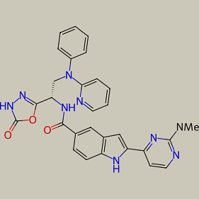 CNc1nccc(-c2cc3cc(C(=O)N[C@@H](CN(c4ccccc4)c4ccccn4)c4n[nH]c(=O)o4)ccc3[nH]2)n1